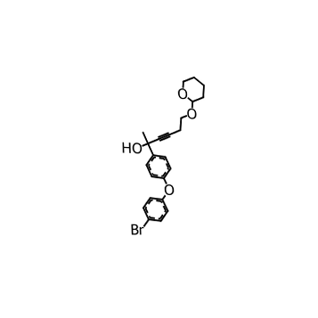 CC(O)(C#CCCOC1CCCCO1)c1ccc(Oc2ccc(Br)cc2)cc1